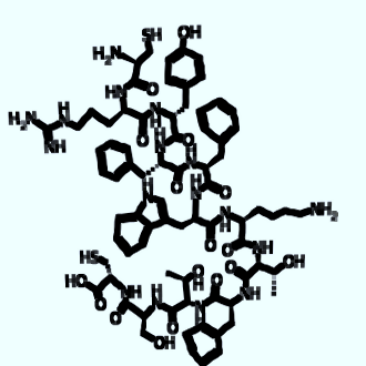 C[C@@H](O)[C@H](NC(=O)[C@H](Cc1ccccc1)NC(=O)[C@@H](NC(=O)[C@H](CCCCN)NC(=O)[C@@H](Cc1c[nH]c2ccccc12)NC(=O)[C@H](Cc1ccccc1)NC(=O)[C@H](Cc1ccccc1)NC(=O)[C@@H](Cc1ccc(O)cc1)NC(=O)[C@@H](CCCNC(=N)N)NC(=O)[C@@H](N)CS)[C@@H](C)O)C(=O)N[C@@H](CO)C(=O)N[C@@H](CS)C(=O)O